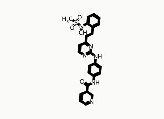 CN(c1ccccc1CCc1ccnc(Nc2ccc(NC(=O)C3C=CC=NC3)cc2)n1)S(C)(=O)=O